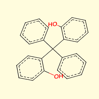 Oc1ccccc1C(c1ccccc1)(c1ccccc1)c1ccccc1O